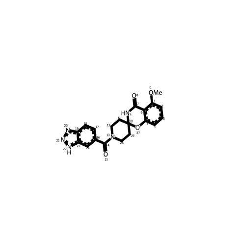 COc1cccc2c1C(=O)NC1(CCN(C(=O)c3ccc4nn[nH]c4c3)CC1)O2